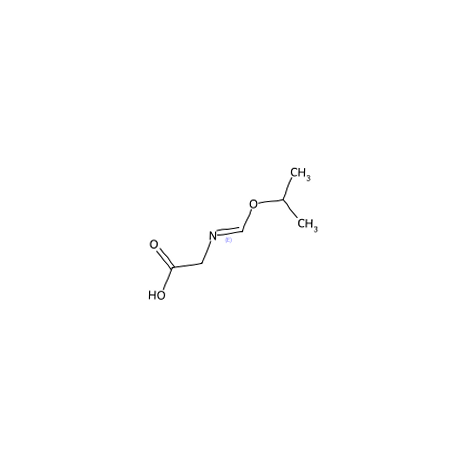 CC(C)O/C=N/CC(=O)O